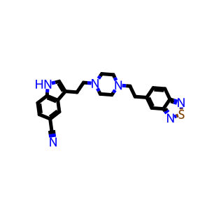 N#Cc1ccc2[nH]cc(CCN3CCN(CCc4ccc5nsnc5c4)CC3)c2c1